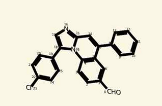 O=Cc1ccc2c(c1)c(-c1ccccc1)cc1ncc(-c3ccc(Cl)cc3)n12